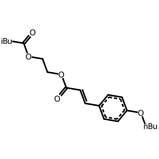 CCCCOc1ccc(/C=C/C(=O)OCCOC(=O)C(C)CC)cc1